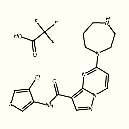 O=C(Nc1cscc1Cl)c1cnn2ccc(N3CCCNCC3)nc12.O=C(O)C(F)(F)F